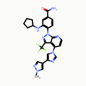 Cn1cc(-c2cn(-c3ccnc4c3c(C(F)(F)F)nn4-c3ccc(C(N)=O)cc3NC3CCCC3)cn2)cn1